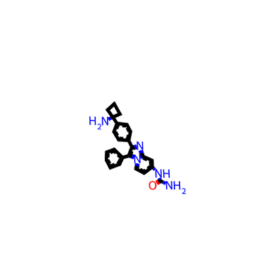 NC(=O)Nc1ccn2c(-c3ccccc3)c(-c3ccc(C4(N)CCC4)cc3)nc2c1